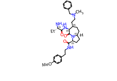 CC[C@H](N)C(=O)N[C@@H]1C(=O)N2[C@@H](CC[C@@H]1CCN(C)Cc1ccccc1)CC[C@H]2C(=O)NCCc1ccc(OC)cc1